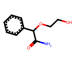 NC(=O)C(OCCO)c1ccccc1